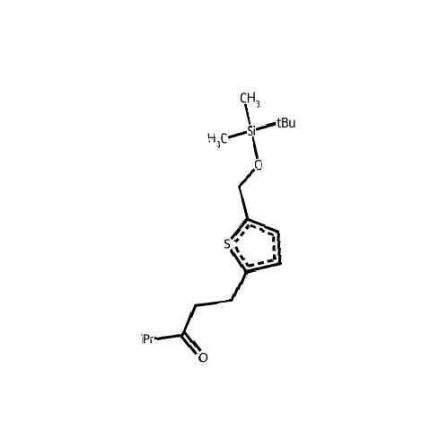 CC(C)C(=O)CCc1ccc(CO[Si](C)(C)C(C)(C)C)s1